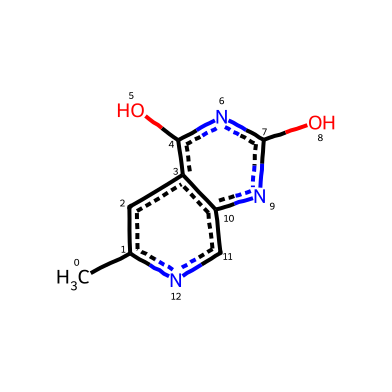 Cc1cc2c(O)nc(O)nc2cn1